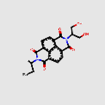 CCC(C)CC(C)N1C(=O)c2ccc3c4c(ccc(c24)C1=O)C(=O)N(C(CO)CO)C3=O